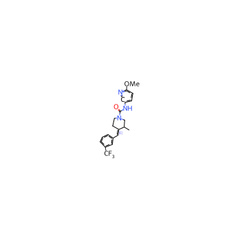 COc1ccc(NC(=O)N2CC/C(=C\c3cccc(C(F)(F)F)c3)C(C)C2)cn1